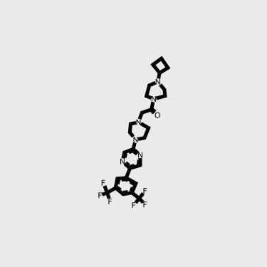 O=C(CN1CCN(c2cnc(-c3cc(C(F)(F)F)cc(C(F)(F)F)c3)cn2)CC1)N1CCN(C2CCC2)CC1